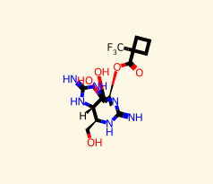 N=C1N[C@H]2[C@H](CO)NC(=N)N3C[C@H](OC(=O)C4(C(F)(F)F)CCC4)C(O)(O)C23N1